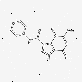 CSC1=CC(=O)c2[nH]nc(C(=O)Nc3ccccc3)c2C1=O